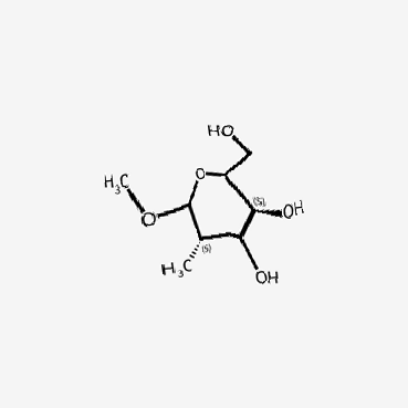 COC1OC(CO)[C@@H](O)C(O)[C@@H]1C